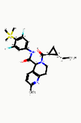 COc1ccc2c(n1)CCN(C(=O)[C@H]1C[C@@H]1CC(=O)O)C2C(=O)Nc1cc(F)c(S(C)(C)C)c(F)c1